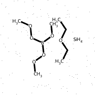 CCOCC.COOB(OC)OOC.[SiH4]